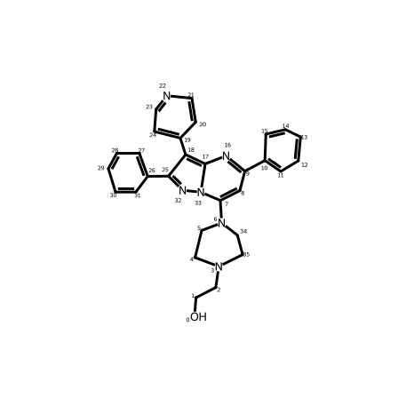 OCCN1CCN(c2cc(-c3ccccc3)nc3c(-c4ccncc4)c(-c4ccccc4)nn23)CC1